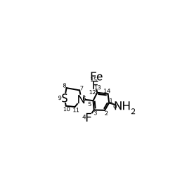 Nc1cc(F)c(N2CCSCC2)c(F)c1.[Fe]